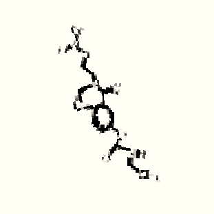 CCNC(=O)Oc1ccc2c(c1)C(=O)N(CCO[N+](=O)[O-])CO2